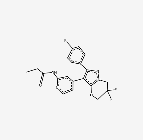 CCC(=O)Nc1cc(-c2c(-c3ccc(F)cc3)nn3c2OCC(F)(F)C3)ccn1